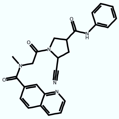 CN(CC(=O)N1CC(C(=O)Nc2ccccc2)CC1C#N)C(=O)c1ccc2cccnc2c1